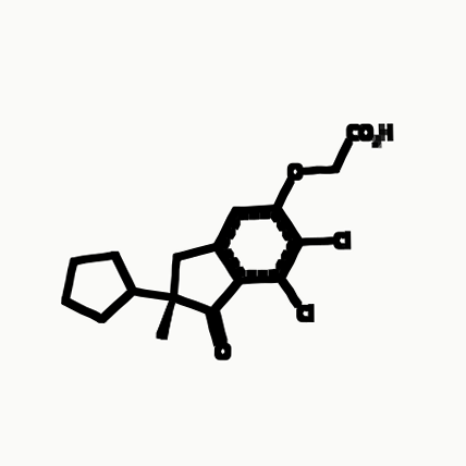 C[C@@]1(C2CCCC2)Cc2cc(OCC(=O)O)c(Cl)c(Cl)c2C1=O